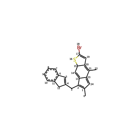 CC1=C(CC2=Cc3ccccc3C2)C2=CC3SC(Br)=CC3=C(C)C2=C1